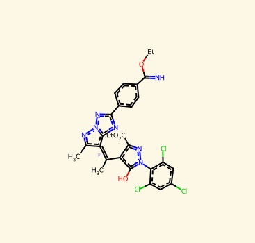 CCOC(=N)c1ccc(-c2nc3/c(=C(/C)c4c(C(=O)OCC)nn(-c5c(Cl)cc(Cl)cc5Cl)c4O)c(C)nn3n2)cc1